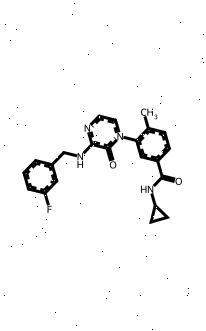 Cc1ccc(C(=O)NC2CC2)cc1-n1ccnc(NCc2cccc(F)c2)c1=O